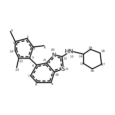 Cc1cc(C)c(-c2cccc3sc(NC4CCCCC4)nc23)c(C)c1